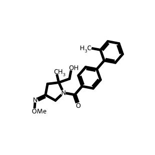 CO/N=C1\CN(C(=O)c2ccc(-c3ccccc3C)cc2)C(C)(CO)C1